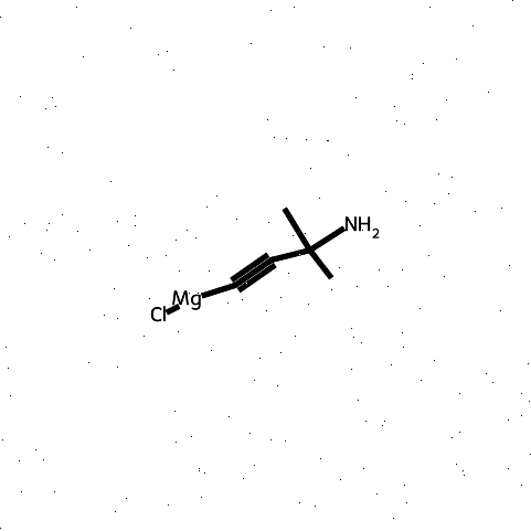 CC(C)(N)C#[C][Mg][Cl]